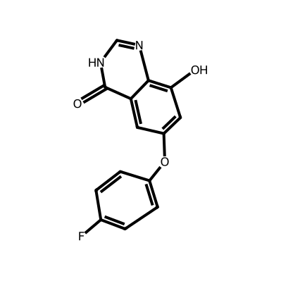 O=c1[nH]cnc2c(O)cc(Oc3ccc(F)cc3)cc12